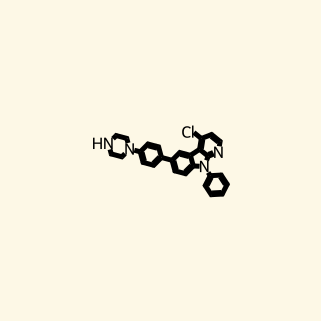 Clc1ccnc2c1c1cc(-c3ccc(N4CCNCC4)cc3)ccc1n2-c1ccccc1